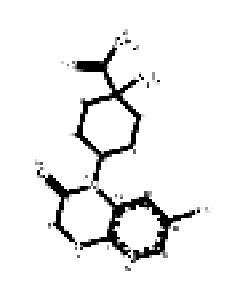 NC(=O)C1(N)CCC(N2C(=O)COc3ncc(F)cc32)CC1